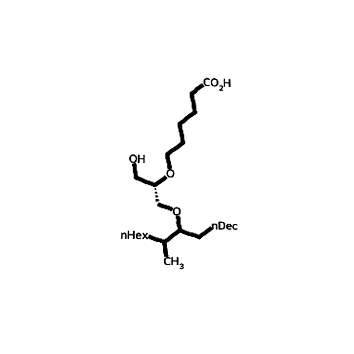 CCCCCCCCCCCC(OC[C@H](CO)OCCCCCC(=O)O)C(C)CCCCCC